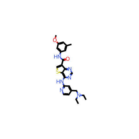 CCN(CC)Cc1ccnc(Nc2ncnc3c(C(=O)Nc4cc(C)cc(OC)c4)csc23)c1